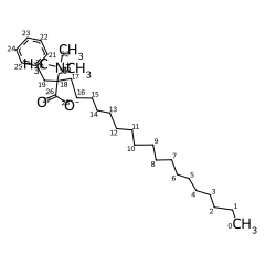 CCCCCCCCCCCCCCCCCCC(Cc1ccccc1)(C(=O)[O-])[N+](C)(C)C